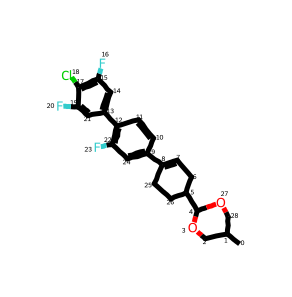 CC1COC(C2CC=C(c3ccc(-c4cc(F)c(Cl)c(F)c4)c(F)c3)CC2)OC1